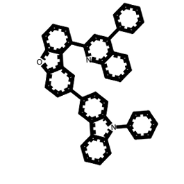 c1ccc(-c2cc(-c3cccc4oc5ccc(-c6ccc7c(c6)c6ccccc6n7-c6ccccc6)cc5c34)nc3ccccc23)cc1